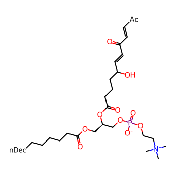 CCCCCCCCCCCCCCCC(=O)OC[C@H](COP(=O)([O-])OCC[N+](C)(C)C)OC(=O)CCCC(O)C=CC(=O)C=CC(C)=O